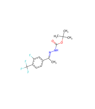 CC(=NNC(=O)OC(C)(C)C)c1ccc(C(F)(F)F)c(F)c1